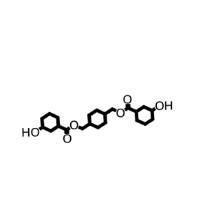 O=C(OCC1CCC(COC(=O)C2CCCC(O)C2)CC1)C1CCCC(O)C1